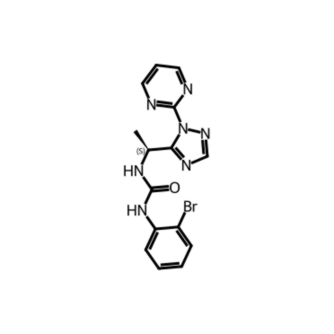 C[C@H](NC(=O)Nc1ccccc1Br)c1ncnn1-c1ncccn1